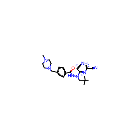 C=C(C#N)/N=C(\C=C/N)N(CC(C)(C)C)NC(=O)c1ccc(CN2CCN(C)CC2)cc1